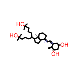 C=C1/C(=C\C=C2/CCC[C@@]3(C)C2CCC3C(CCCC(C)(C)O)CCCC(C)(C)O)C[C@@H](O)C[C@@H]1O